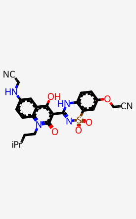 CC(C)CCn1c(=O)c(C2=NS(=O)(=O)c3cc(OCC#N)ccc3N2)c(O)c2cc(NCC#N)ccc21